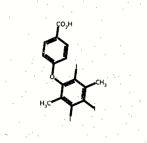 Cc1c(I)c(I)c(C)c(Oc2ccc(C(=O)O)cc2)c1I